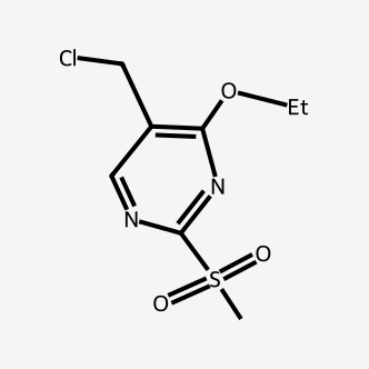 CCOc1nc(S(C)(=O)=O)ncc1CCl